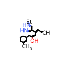 C#C/C=C(\C=C(\O)CC1C=C(C)CCC1)C(/C=N)=C/NCC